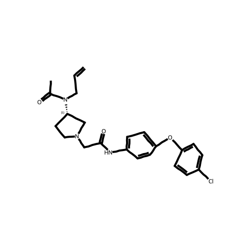 C=CCN(C(C)=O)[C@H]1CCN(CC(=O)Nc2ccc(Oc3ccc(Cl)cc3)cc2)C1